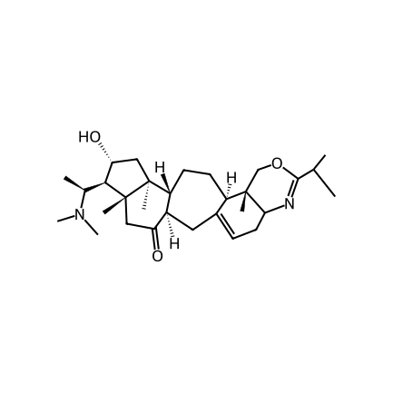 CC(C)C1=NC2CC=C3C[C@H]4C(=O)C[C@]5(C)[C@@H]([C@H](C)N(C)C)[C@H](O)C[C@@]5(C)[C@@H]4CC[C@H]3[C@]2(C)CO1